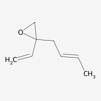 C=CC1(CC=CC)CO1